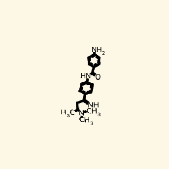 CC(CC(=N)c1ccc(NC(=O)c2ccc(N)cc2)cc1)N(C)C